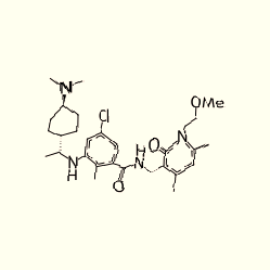 COCCn1c(C)cc(C)c(CNC(=O)c2cc(Cl)cc(NC(C)[C@H]3CC[C@H](N(C)C)CC3)c2C)c1=O